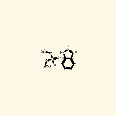 CCCCCCCCOP(O)(=S)OCCCCCCCC.c1ccc2[nH]nnc2c1